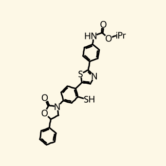 CC(C)OC(=O)Nc1ccc(-c2ncc(-c3ccc(N4CC(c5ccccc5)OC4=O)cc3S)s2)cc1